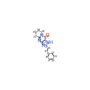 O=c1c2[nH]c(C=Cc3ccccc3)nc2nc2n1CCCC2